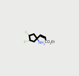 CCOC(=O)/C=C\[C@@]1(N)C[C@@H](F)[C@@H](F)C1